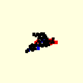 [C-]#[N+]c1ccc(C(=O)NC(Cc2ccc(OP(=O)(O)O)cc2)C(=O)NC(C)CC(C)C)cc1